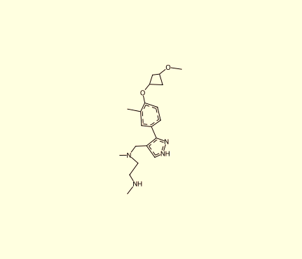 CNCCN(C)Cc1c[nH]nc1-c1ccc(OC2CC(OC)C2)c(C)c1